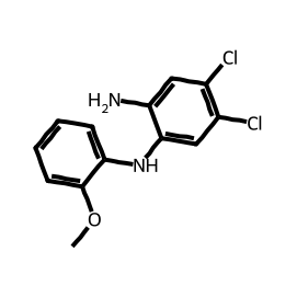 COc1ccccc1Nc1cc(Cl)c(Cl)cc1N